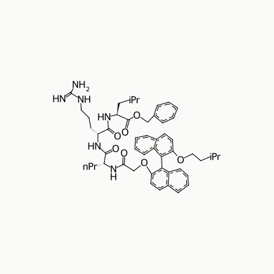 CCC[C@@H](NC(=O)COc1ccc2ccccc2c1-c1c(OCCC(C)C)ccc2ccccc12)C(=O)N[C@H](CCCNC(=N)N)C(=O)N[C@@H](CC(C)C)C(=O)OCc1ccccc1